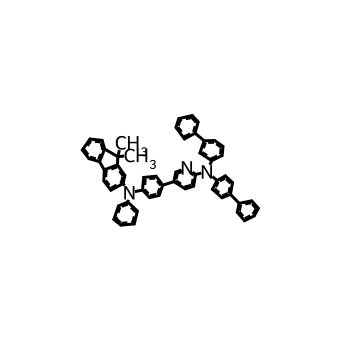 CC1(C)c2ccccc2-c2ccc(N(c3ccccc3)c3ccc(-c4ccc(N(c5ccc(-c6ccccc6)cc5)c5cccc(-c6ccccc6)c5)nc4)cc3)cc21